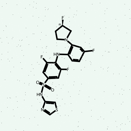 O=S(=O)(Nc1cscn1)c1cc(F)c(Nc2ccc(F)cc2N2CC[C@@H](F)C2)c(F)c1